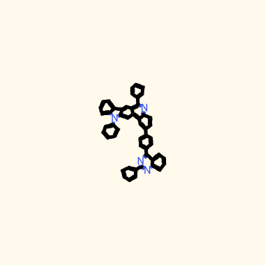 c1ccc(-c2nc(-c3ccc(-c4ccc5nc(-c6ccccc6)c6cc7c8ccccc8n(-c8ccccc8)c7cc6c5c4)cc3)c3ccccc3n2)cc1